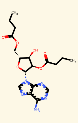 CCCC(=O)OC[C@H]1O[C@@H](n2cnc3c(N)ncnc32)[C@H](OC(=O)CCC)[C@@H]1O